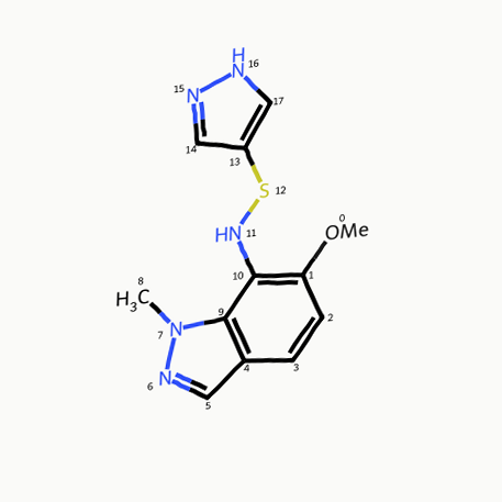 COc1ccc2cnn(C)c2c1NSc1cn[nH]c1